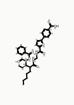 CCCCCC(C(=O)NCNC(=O)c1ccc(-c2ccc(C(=O)O)cc2)o1)[C@@H](CC)N(C=O)OC(=O)c1ccccc1